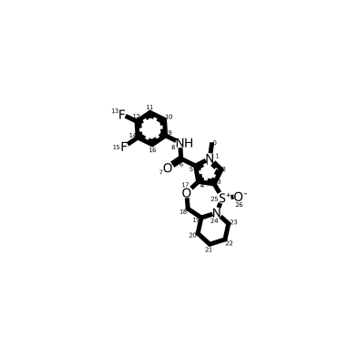 Cn1cc2c(c1C(=O)Nc1ccc(F)c(F)c1)OCC1CCCCN1[S+]2[O-]